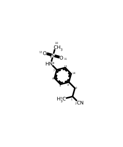 CC(C#N)Cc1ccc(NS(C)(=O)=O)cc1